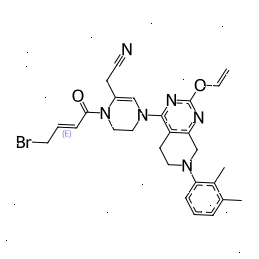 C=COc1nc2c(c(N3C=C(CC#N)N(C(=O)/C=C/CBr)CC3)n1)CCN(c1cccc(C)c1C)C2